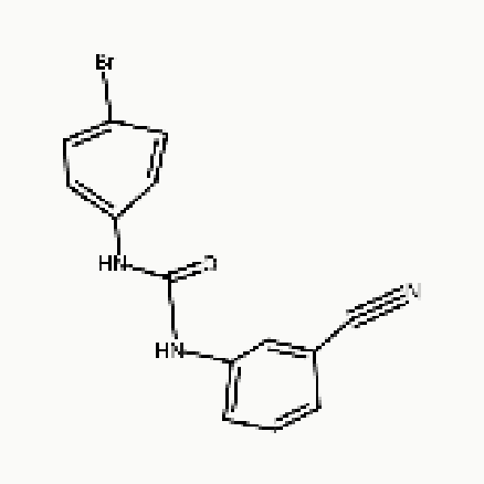 N#Cc1cccc(NC(=O)Nc2ccc(Br)cc2)c1